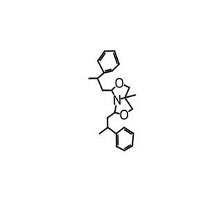 CC(CC1OCC2(C)COC(CC(C)c3ccccc3)N12)c1ccccc1